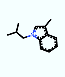 Cc1cn(CC(C)C)c2ccccc12